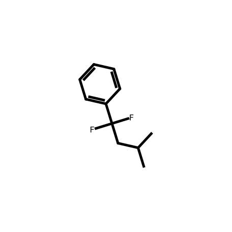 CC(C)CC(F)(F)c1ccccc1